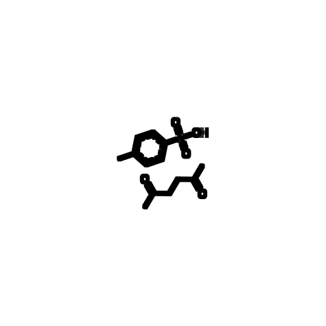 CC(=O)CCC(C)=O.Cc1ccc(S(=O)(=O)O)cc1